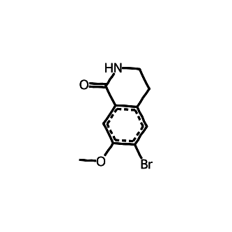 COc1cc2c(cc1Br)CCNC2=O